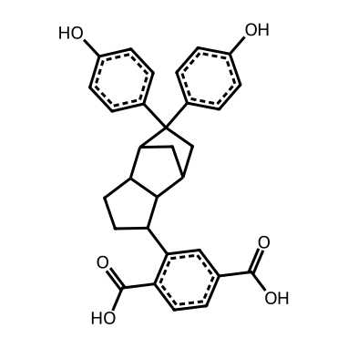 O=C(O)c1ccc(C(=O)O)c(C2CCC3C2C2CC3C(c3ccc(O)cc3)(c3ccc(O)cc3)C2)c1